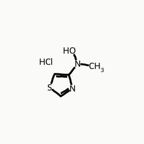 CN(O)c1cscn1.Cl